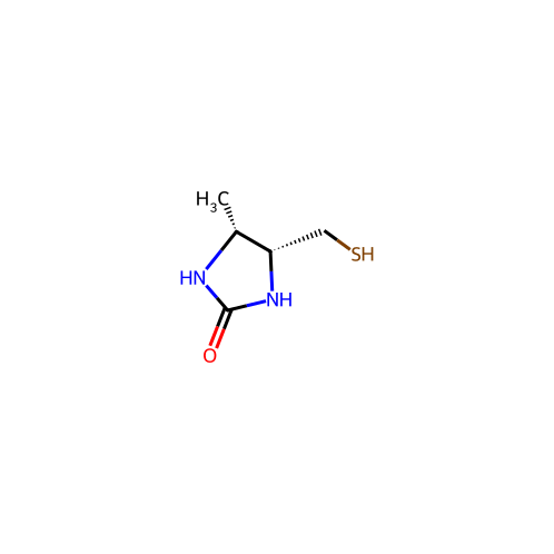 C[C@H]1NC(=O)N[C@H]1CS